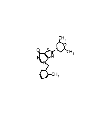 Cc1ccccc1Cn1cnc(=O)c2sc(N3CC(C)OC(C)C3)nc21